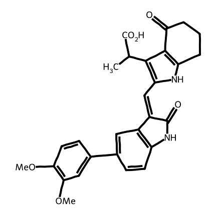 COc1ccc(-c2ccc3c(c2)/C(=C/c2[nH]c4c(c2C(C)C(=O)O)C(=O)CCC4)C(=O)N3)cc1OC